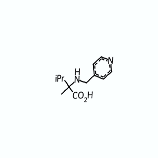 CC(C)C(C)(NCc1ccncc1)C(=O)O